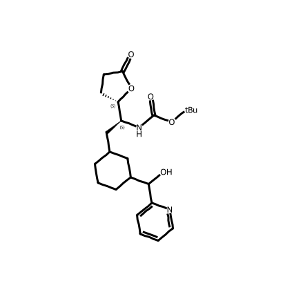 CC(C)(C)OC(=O)N[C@@H](CC1CCCC(C(O)c2ccccn2)C1)[C@@H]1CCC(=O)O1